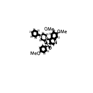 COc1ccc(S(=O)(=O)c2cnc3cc(OC)c(OC)cc3c2N2CCN(c3ccccc3)CC2)cc1